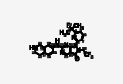 CC(C)(F)c1cccc(-n2c3nc(Nc4ccc5c(c4)CNCC5)ncc3c(=O)n2CC(F)(F)F)n1